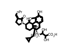 CCCC=C1CCN([C@@H]2CC[C@@]3(O)[C@H]4Cc5ccc(O)c6c5[C@@]3(CCN4CC3CC3)[C@H]2O6)C1=O.O=C(O)C(O)C(O)C(=O)O